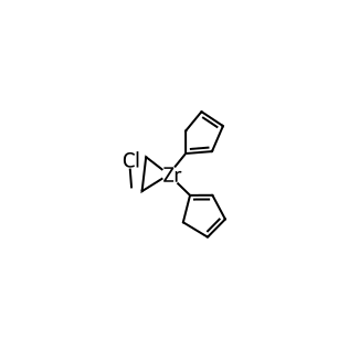 C1=CC[C]([Zr]2([C]3=CC=CC3)[CH2][CH2]2)=C1.CCl